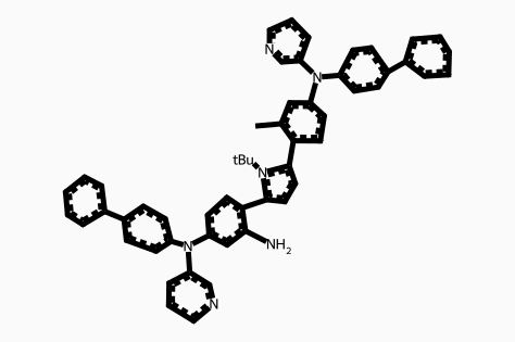 Cc1cc(N(c2ccc(-c3ccccc3)cc2)c2cccnc2)ccc1-c1ccc(-c2ccc(N(c3ccc(-c4ccccc4)cc3)c3cccnc3)cc2N)n1C(C)(C)C